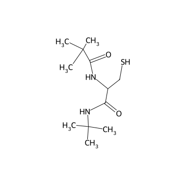 CC(C)(C)NC(=O)C(CS)NC(=O)C(C)(C)C